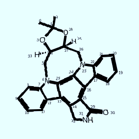 CC1(C)O[C@@H]2Cn3c4ccccc4c4c5c(c6c7ccccc7n(c6c43)C[C@H]2O1)C(=O)NC5